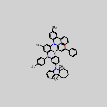 CC(C)(C)c1ccc(N2c3cc(N4c5ccccc5C5(C)CCCCCC45C)ccc3B3c4cc(-c5ccccc5)ccc4N(c4ccc(C(C)(C)C)cc4-c4ccccc4)c4cc(C(C)(C)C)cc2c43)cc1